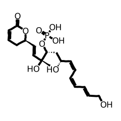 C[C@@](O)(/C=C/[C@H]1CC=CC(=O)O1)[C@@H](C[C@@H](O)\C=C/C=C\C=C\CO)OP(=O)(O)O